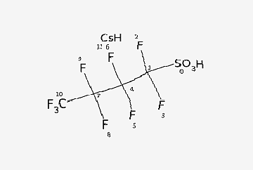 O=S(=O)(O)C(F)(F)C(F)(F)C(F)(F)C(F)(F)F.[CsH]